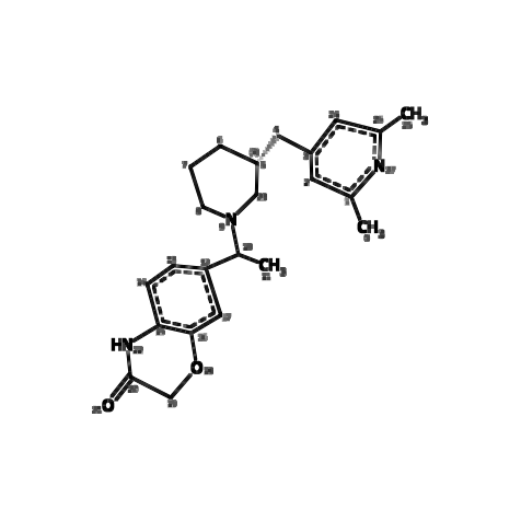 Cc1cc(C[C@H]2CCCN(C(C)c3ccc4c(c3)OCC(=O)N4)C2)cc(C)n1